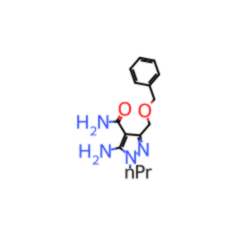 CCCn1nc(COCc2ccccc2)c(C(N)=O)c1N